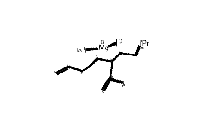 [CH2]C(C)CCC(CCC=C)C(=C)C.[I][Mg][I]